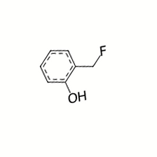 Oc1ccccc1CF